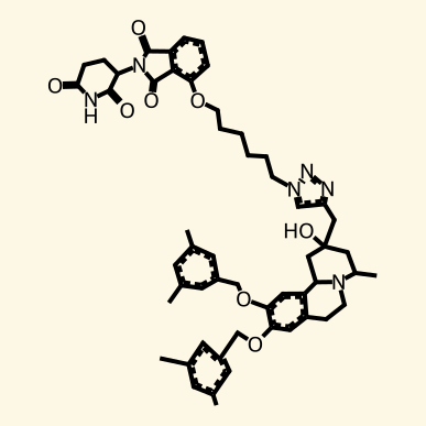 Cc1cc(C)cc(COc2cc3c(cc2OCc2cc(C)cc(C)c2)C2CC(O)(Cc4cn(CCCCCCOc5cccc6c5C(=O)N(C5CCC(=O)NC5=O)C6=O)nn4)CC(C)N2CC3)c1